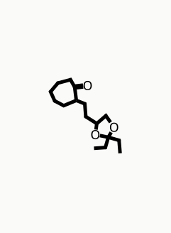 CCC1(CC)OCC(CCC2CCCCCC2=O)O1